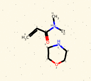 C1COCCN1.C=CC(=O)N(C)CC